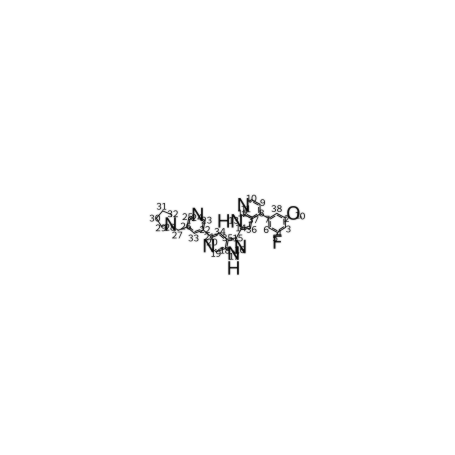 COc1cc(F)cc(-c2ccnc3[nH]c(-c4n[nH]c5cnc(-c6cncc(CN7CCCC7)c6)cc45)cc23)c1